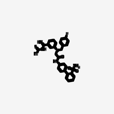 CCC(=S)NC(=N)c1cccc(N(CC(=O)Nc2ccc(-c3ccccc3S(N)(=O)=O)cc2)Cc2ccc(F)cc2)c1